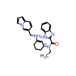 CCN(C(=O)c1nc2ccccc2[nH]1)[C@@H]1C=C(NCc2ccc3cccn3c2)CCC1